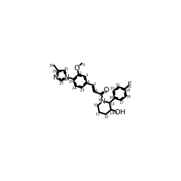 COc1cc(C=CC(=O)N2CCCC(O)C2c2ccc(F)cc2)ccc1-n1cnc(C)c1